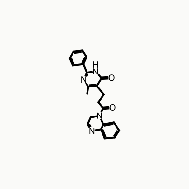 Cc1nc(-c2ccccc2)[nH]c(=O)c1CCC(=O)N1CC=Nc2ccccc21